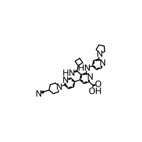 N#CC1CCN(c2ccc(-c3cc(C(=O)O)nc(Nc4ccnc(N5CCCC5)c4)c3C(=N)C3CCC3)cn2)CC1